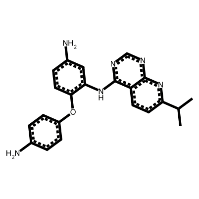 CC(C)c1ccc2c(Nc3cc(N)ccc3Oc3ccc(N)cc3)ncnc2n1